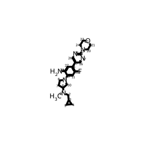 CN(CC1CC1)C1CCN(c2cc(F)c(-c3cnc(N4CCOCC4)nc3)cc2N)C1